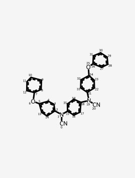 N#CN(c1ccc(Oc2ccccc2)cc1)c1ccc(N(C#N)c2ccc(Oc3ccccc3)cc2)cc1